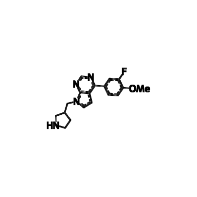 COc1ccc(-c2ncnc3c2ccn3CC2CCNC2)cc1F